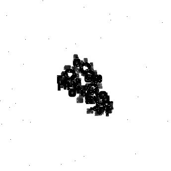 COc1ccc(CS(=O)(=O)[C@@H]2C[C@@H](C(=O)N[C@H](C(=O)C(F)(F)F)C(C)C)N(C(=O)[C@H](C)NC(=O)C(F)(F)c3ccccc3C(F)(F)F)C2)cc1